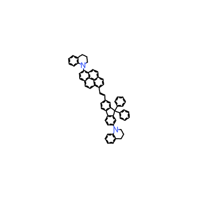 C(=C\c1ccc2ccc3c(N4CCCc5ccccc54)ccc4ccc1c2c43)/c1ccc2c(c1)C(c1ccccc1)(c1ccccc1)c1cc(N3CCCc4ccccc43)ccc1-2